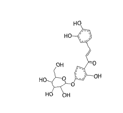 O=C(/C=C/c1ccc(O)c(O)c1)c1ccc(OC2OC(CO)C(O)C(O)C2O)cc1O